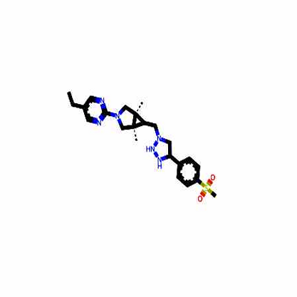 CCc1cnc(N2C[C@@]3(C)C(CN4CC(c5ccc(S(C)(=O)=O)cc5)NN4)[C@@]3(C)C2)nc1